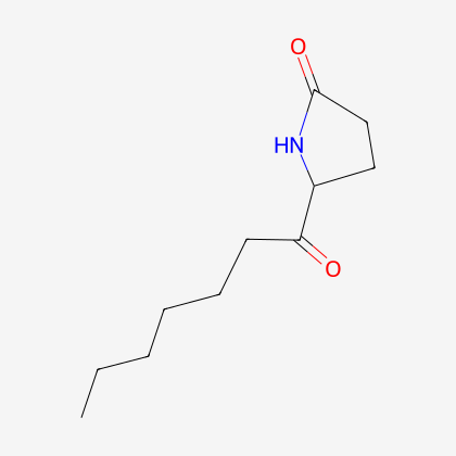 CCCCCCC(=O)C1CCC(=O)N1